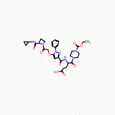 CCOC(=O)N1CCN(C(=O)C(CCC(=O)O)NC(=O)c2cc(OCC(=O)N3CCC3C(=O)NC3CC3)n(-c3ccccc3)n2)CC1